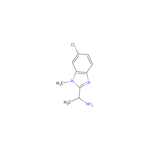 CC(N)c1nc2ccc(Cl)cc2n1C